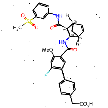 COc1cc(F)c(-c2ccc(CC(=O)O)cc2)cc1C(=O)N[C@H]1[C@@H](C(=O)Nc2cccc(S(=O)(=O)C(F)(F)F)c2)[C@@H]2C=C[C@H]1C2